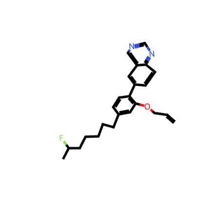 C=CCOc1cc(CCCCCC(C)F)ccc1-c1ccc2ncncc2c1